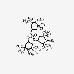 CCCCN1C(C)(C)CC(OP(=O)(OC2CC(C)(C)N(CCCC)C(C)(C)C2)OC2CC(C)(C)N(CCCC)C(C)(C)C2)CC1(C)C